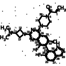 C=CC(=O)N1CCN(c2nc(N3CC(N(C)C)C3)nc3c(F)c(-c4c(F)ccc5cn[nH]c45)c(Cl)cc23)CC1